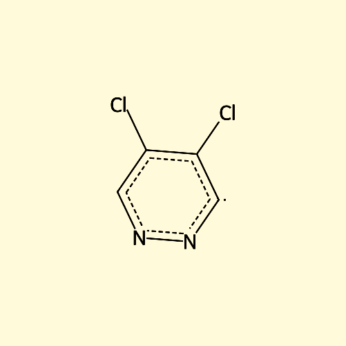 Clc1[c]nncc1Cl